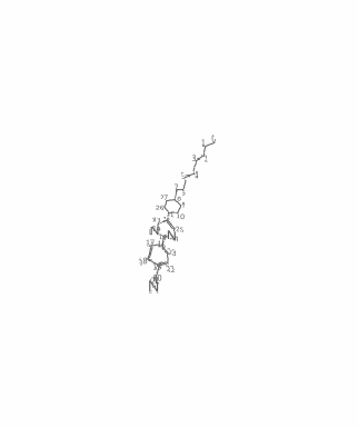 CCCCCCCC[C@H]1CC[C@H](c2cnc(-c3ccc(C#N)cc3)nc2)CC1